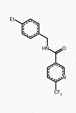 CCc1ccc(CNC(=O)c2ccc(C(F)(F)F)nc2)cc1